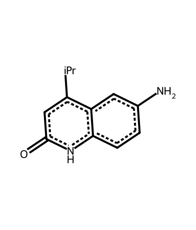 CC(C)c1cc(=O)[nH]c2ccc(N)cc12